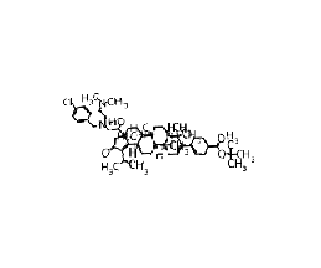 CC(C)C1=C2[C@H]3CC[C@@H]4[C@@]5(C)CC=C(C6=CCC(C(=O)OC(C)(C)C)CC6)C(C)(C)[C@@H]5CC[C@@]4(C)[C@]3(C)CC[C@@]2(C(O)CN(CCN(C)C)Cc2ccc(Cl)cc2)CC1=O